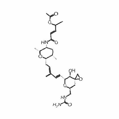 CC(=O)OC(C)C=CC(=O)N[C@@H]1C[C@H](C)[C@H](CC=C(C)C=C[C@H]2O[C@H](CNC(N)=O)C[C@@]3(CO3)[C@@H]2O)O[C@@H]1C